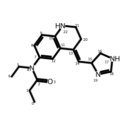 CCC(=O)N(CC)c1ccc2c(c1)/C(=C/C1CNC=N1)CCN2